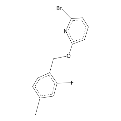 Cc1ccc(COc2cccc(Br)n2)c(F)c1